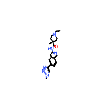 CCN1CCC(C)(C(=O)Nc2cc3cc(-c4cn(C)nn4)ccc3cn2)CC1